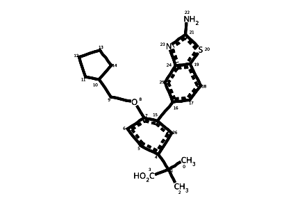 CC(C)(C(=O)O)c1ccc(OCC2CCCC2)c(-c2ccc3sc(N)nc3c2)c1